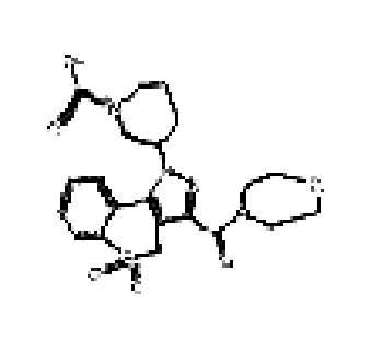 O=C(O)N1CCCC(n2nc(C(=O)N3CCOCC3)c3c2-c2ccccc2S(=O)(=O)C3)C1